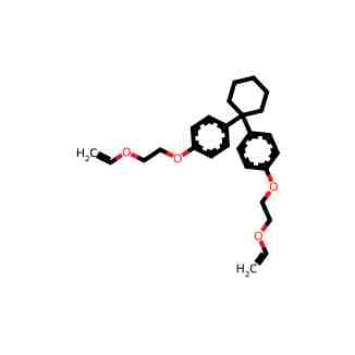 C=COCCOc1ccc(C2(c3ccc(OCCOC=C)cc3)CCCCC2)cc1